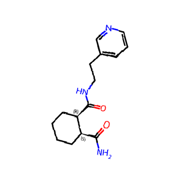 NC(=O)[C@H]1CCCC[C@H]1C(=O)NCCc1cccnc1